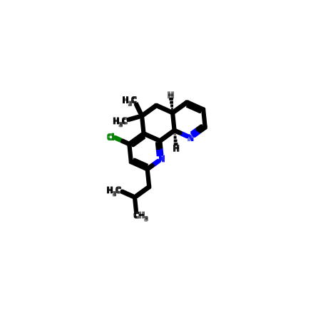 CC(C)Cc1cc(Cl)c2c(n1)[C@@H]1N=CC=C[C@@H]1CC2(C)C